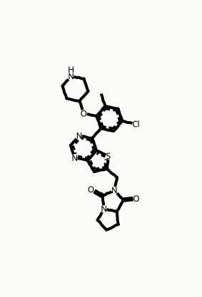 Cc1cc(Cl)cc(-c2ncnc3cc(CN4C(=O)C5CCCN5C4=O)sc23)c1OC1CCNCC1